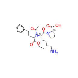 CCOC(=O)C(CCc1ccccc1)N(C(C)=O)[C@@H](CCCCN)C(=O)N1CCC[C@H]1C(=O)O